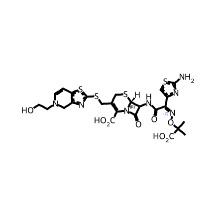 CC(C)(O/N=C(\C(=O)NC1C(=O)N2C(C(=O)O)=C(CSc3nc4c(s3)C=CN(CCO)C4)CS[C@H]12)c1csc(N)n1)C(=O)O